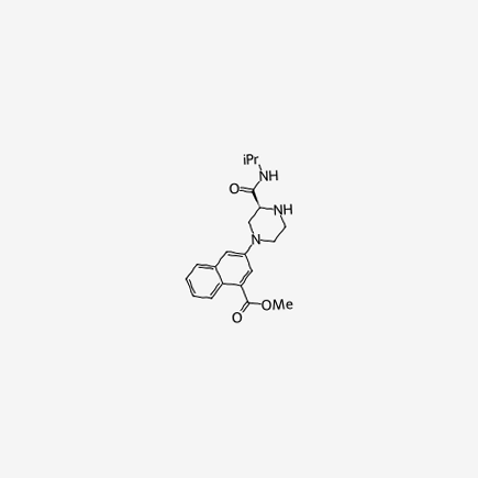 COC(=O)c1cc(N2CCN[C@H](C(=O)NC(C)C)C2)cc2ccccc12